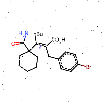 CCCC/C(=C(/Cc1ccc(Br)cc1)C(=O)O)C1(C(N)=O)CCCCC1